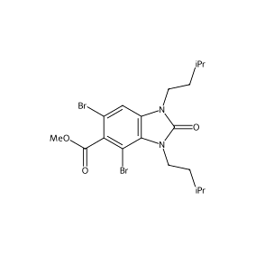 COC(=O)c1c(Br)cc2c(c1Br)n(CCC(C)C)c(=O)n2CCC(C)C